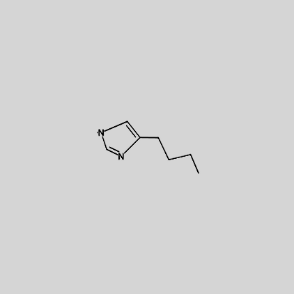 CCCCC1=C[N]C=N1